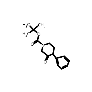 CC(C)(C)OC(=O)N1CCC(c2ccccc2)C(=O)C1